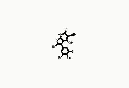 N#Cc1c(O)c2c(-c3cc(Br)c(O)c(Br)c3)c(Br)sc2[nH]c1=O